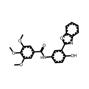 COc1cc(C(=O)Nc2ccc(O)c(-c3nc4ccccc4o3)c2)cc(OC)c1OC